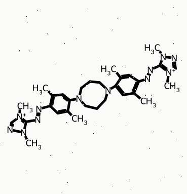 Cc1cc(N2CCCN(c3cc(C)c(/N=N/c4n(C)nc[n+]4C)cc3C)CCC2)c(C)cc1/N=N/c1n(C)nc[n+]1C